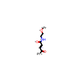 CC(C)OCCNC(=O)/C=C/C(=O)C(C)C